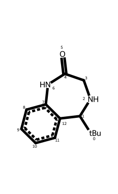 CC(C)(C)C1NCC(=O)Nc2ccccc21